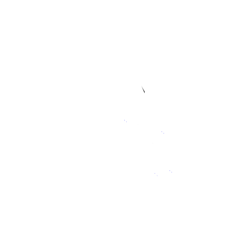 COc1[nH]ncc1-c1cc2c(cn1)c(C(=O)[C@@H]1COc3ccc(Cl)cc3C1)cn2C[C@H](C)O